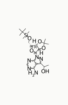 CC(O)c1nn([C@@H]2O[C@H](CO[Si](C)(C)C(C)(C)C)[C@H]3OC(C)(C)O[C@H]32)c2ncnc(N)c12